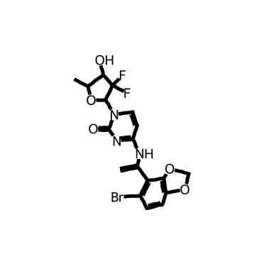 C=C(Nc1ccn(C2OC(C)C(O)C2(F)F)c(=O)n1)c1c(Br)ccc2c1OCO2